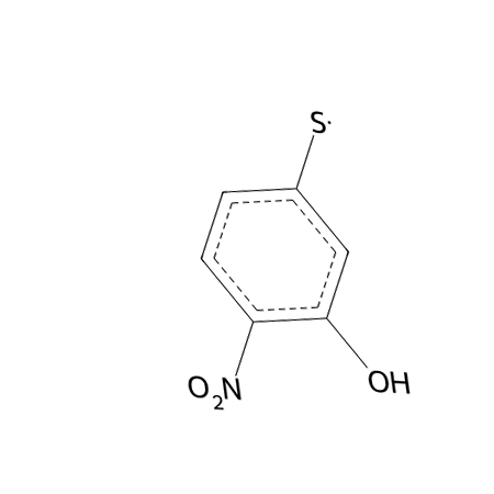 O=[N+]([O-])c1ccc([S])cc1O